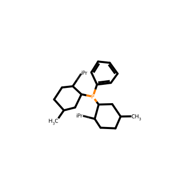 CC1CCC(C(C)C)C(P(c2ccccc2)C2CC(C)CCC2C(C)C)C1